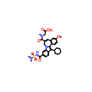 COc1ccc2c(c1)C=C(C(=O)N(C)CC(=O)O)Cn1c-2c(C2CCCCC2)c2ccc(C(=O)NS(=O)(=O)N(C)C)cc21